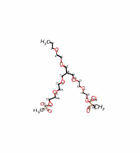 CCCOCCOCC(COCCOCCOS(C)(=O)=O)COCCOCCOS(C)(=O)=O